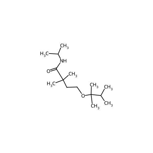 CC(C)NC(=O)C(C)(C)CCOC(C)(C)C(C)C